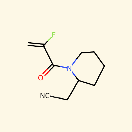 C=C(F)C(=O)N1CCCCC1CC#N